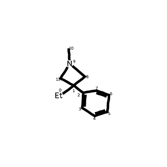 CCC1(c2ccccc2)CN(C)C1